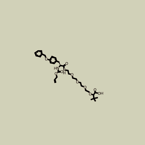 C=CCOC(=O)N[C@@H](Cc1ccc(OCc2ccccc2)cc1)C(=O)NCCOCCOCCOCCOC(C(=O)O)C(C)(C)C